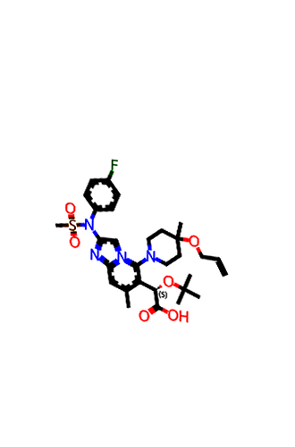 C=CCOC1(C)CCN(c2c([C@H](OC(C)(C)C)C(=O)O)c(C)cc3nc(N(c4ccc(F)cc4)S(C)(=O)=O)cn23)CC1